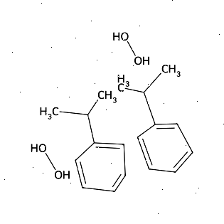 CC(C)c1ccccc1.CC(C)c1ccccc1.OO.OO